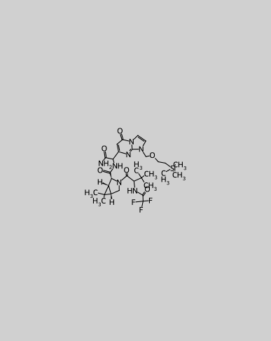 CC(C)(C)C(NC(=O)C(F)(F)F)C(=O)N1C[C@H]2[C@@H]([C@H]1C(=O)NC(C(N)=O)c1cc(=O)n3ccn(COCC[Si](C)(C)C)c3n1)C2(C)C